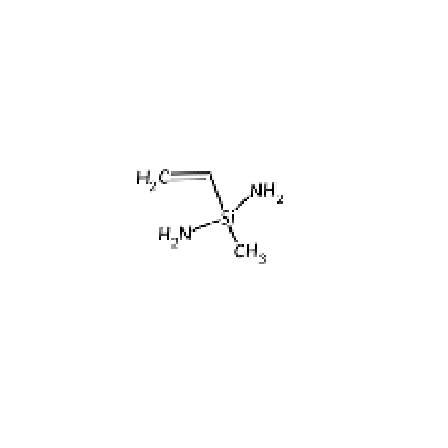 C=C[Si](C)(N)N